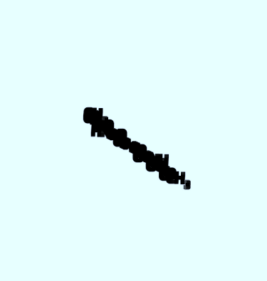 COC(=O)Cc1ccc(C(=O)Nc2ccc(C(=O)Oc3ccc(-c4ccc(OC(=O)c5ccc(NC(=O)c6ccc(CC(=O)OC)cc6)cc5)cc4)cc3)cc2)cc1